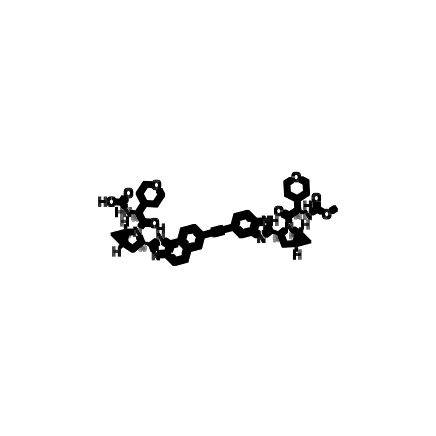 COC(=O)N[C@H](C(=O)N1[C@@H]2C[C@H]2C[C@H]1c1nc2cc(C#Cc3ccc4c(ccc5nc([C@@H]6C[C@H]7C[C@H]7N6C(=O)[C@@H](NC(=O)O)C6CCOCC6)[nH]c54)c3)ccc2[nH]1)C1CCOCC1